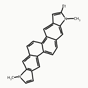 CCc1cc2cc3c(ccc4c5cc6ccn(C)c6cc5ccc34)cc2n1C